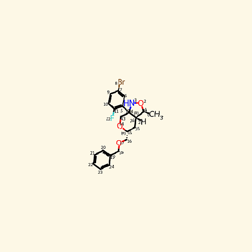 C[C@@H]1ON[C@@]2(c3cc(Br)ccc3F)CO[C@@H](COCc3ccccc3)C[C@@H]12